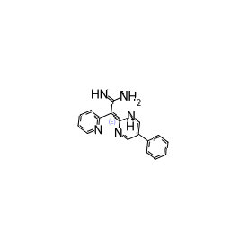 N=C(N)/C(=C1/N=CC(c2ccccc2)=CN1)c1ccccn1